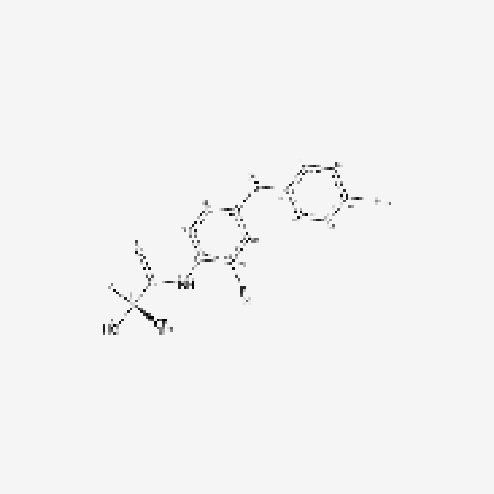 C[C@@](O)(C(=O)Nc1ccc(Sc2ccc(F)cc2)cc1F)C(F)(F)F